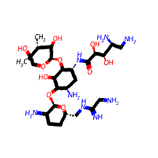 C[C@@H]1C(O)[C@@H](OC2C(O)C(O[C@H]3O[C@H](CNC(=N)CN)CCC3N)[C@@H](N)C[C@H]2NC(=O)[C@@H](O)[C@@H](O)[C@@H](N)CN)OCC1(C)O